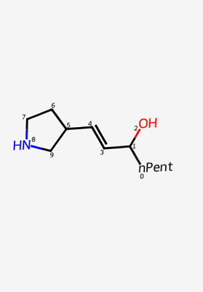 CCCCCC(O)C=CC1CCNC1